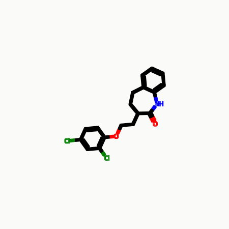 O=C1Nc2ccccc2CCC1CCOc1ccc(Cl)cc1Cl